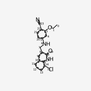 CCOc1cc(NCc2cc3cccc(Cl)c3[nH]c2=O)ccc1C#N